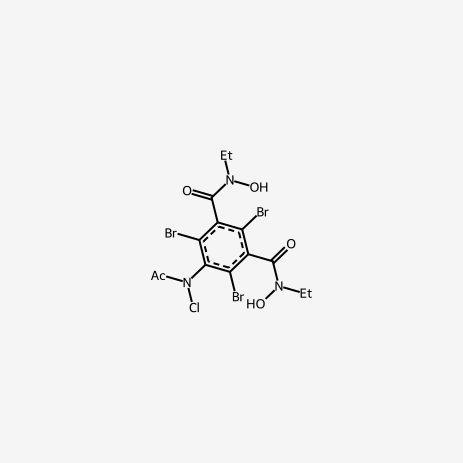 CCN(O)C(=O)c1c(Br)c(C(=O)N(O)CC)c(Br)c(N(Cl)C(C)=O)c1Br